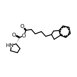 O=C(CCCCC1Cc2ccccc2C1)OC(=O)[C@@H]1CCCN1